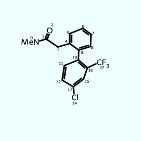 CNC(=O)Cc1ccccc1-c1ccc(Cl)cc1C(F)(F)F